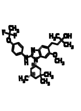 COc1cc2c(cc1CCC(C)(C)O)nc(Nc1ccc(OC(C)(F)F)cc1)n2[C@H]1C[C@@H](C)CC(C)(C)C1